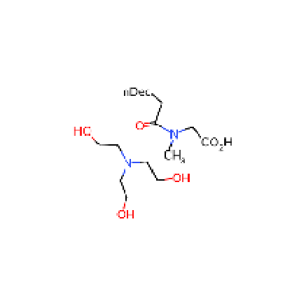 CCCCCCCCCCCC(=O)N(C)CC(=O)O.OCCN(CCO)CCO